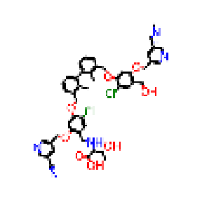 C/N=C/c1cncc(COc2cc(OCc3cccc(-c4cccc(COc5cc(OCc6cncc(C#N)c6)c(CNC(C(=O)O)C(C)O)cc5Cl)c4C)c3C)c(Cl)cc2CO)c1